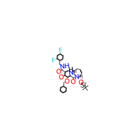 CC(C)(C)[Si](C)(C)OC[C@H]1C=CC[C@H]2CN1C(=O)c1c(OCc3ccccc3)c(=O)c(C(=O)NCc3ccc(F)cc3F)cn12